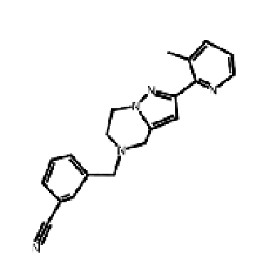 Cc1cccnc1-c1cc2n(n1)CCN(Cc1cccc(C#N)c1)C2